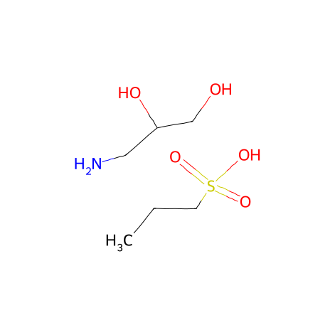 CCCS(=O)(=O)O.NCC(O)CO